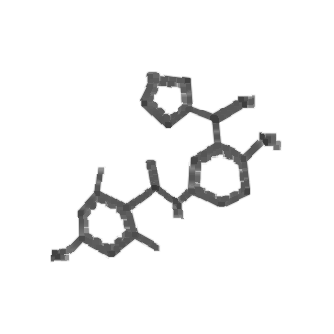 Cc1cc(C#N)cc(C)c1C(=O)Nc1ccc(N)c(C(=N)c2ccoc2)c1